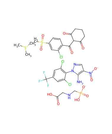 CS(=O)(=O)c1ccc(C(=O)C2C(=O)CCCC2=O)c(Cl)c1.C[S+](C)C.Nc1c([N+](=O)[O-])cnn1-c1c(Cl)cc(C(F)(F)F)cc1Cl.O=C(O)CNCP(=O)([O-])O